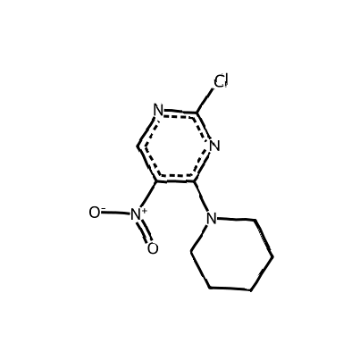 O=[N+]([O-])c1cnc(Cl)nc1N1CCCCC1